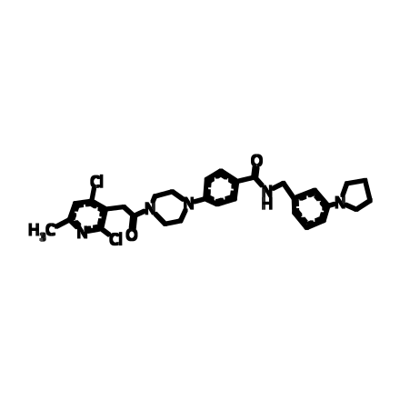 Cc1cc(Cl)c(CC(=O)N2CCN(c3ccc(C(=O)NCc4cccc(N5CCCC5)c4)cc3)CC2)c(Cl)n1